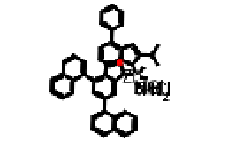 CC1=Cc2c(-c3cccc4ccccc34)cc(-c3cccc4ccccc34)cc2[CH]1[Zr]([CH3])([CH3])(=[SiH2])[CH]1C(C(C)C)=Cc2c(-c3ccccc3)cccc21.Cl.Cl